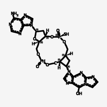 Nc1ncnc2c1ncn2[C@H]1C[C@@H]2O[P@@](=O)(S)OC[C@H]3C[C@@H](n4cnc5c(O)n6ccnc6nc54)[C@@H]3CO[PH](=O)OC[C@H]2O1